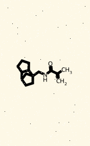 C=C(C)C(=O)NCC12CCC(C1)C1CCCC12